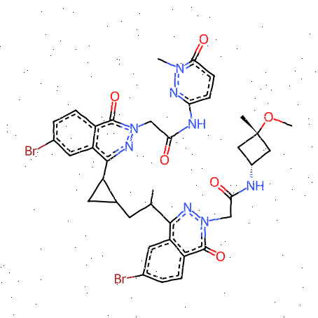 CO[C@]1(C)C[C@H](NC(=O)Cn2nc(C(C)CC3CC3c3nn(CC(=O)Nc4ccc(=O)n(C)n4)c(=O)c4ccc(Br)cc34)c3cc(Br)ccc3c2=O)C1